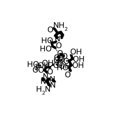 NC(=O)c1ccc[n+]([C@@H]2O[C@H](COP(=O)([O-])OP(=O)(O)OC[C@H]3O[C@@H](n4cnc5c(N)ncnc54)[C@H](OP(=O)(O)O)[C@@H]3O)[C@@H](O)[C@H]2O)c1.O=C[C@H](O)[C@@H](O)[C@@H](O)[C@H](O)CO